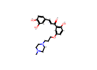 CN1CCN(CCCOc2ccc(O)c(C(=O)/C=C/c3ccc(O)c(O)c3)c2)CC1